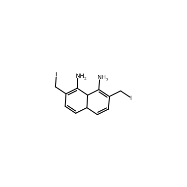 NC1=C(CI)C=CC2C=CC(CI)=C(N)C12